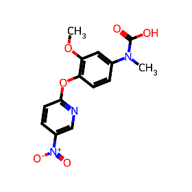 COc1cc(N(C)C(=O)O)ccc1Oc1ccc([N+](=O)[O-])cn1